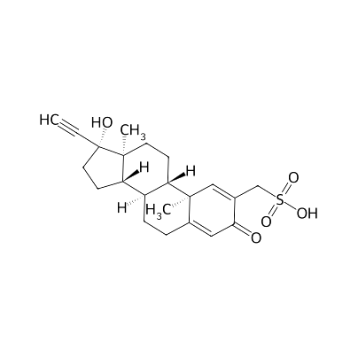 C#C[C@]1(O)CC[C@H]2[C@@H]3CCC4=CC(=O)C(CS(=O)(=O)O)=C[C@]4(C)[C@H]3CC[C@@]21C